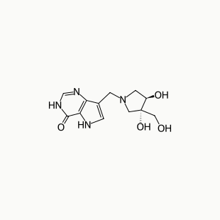 O=c1[nH]cnc2c(CN3C[C@@H](O)[C@@](O)(CO)C3)c[nH]c12